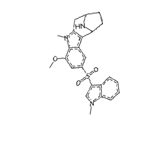 COc1cc(S(=O)(=O)c2cn(C)c3ccccc23)cc2c3c(n(C)c12)CC1CCC3N1